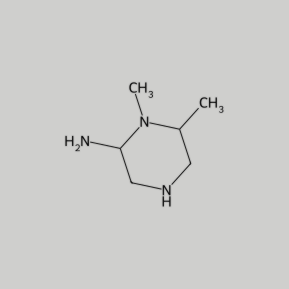 CC1CNCC(N)N1C